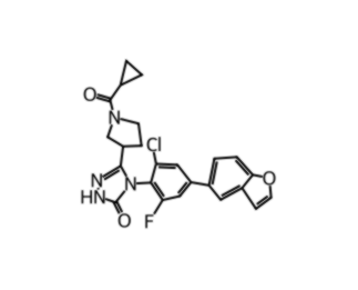 O=C(C1CC1)N1CCC(c2n[nH]c(=O)n2-c2c(F)cc(-c3ccc4occc4c3)cc2Cl)C1